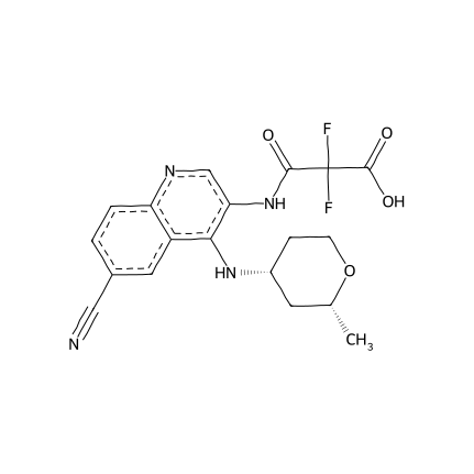 C[C@@H]1C[C@H](Nc2c(NC(=O)C(F)(F)C(=O)O)cnc3ccc(C#N)cc23)CCO1